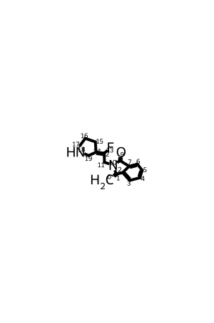 C=C1c2ccccc2C(=O)N1C/C(F)=C1/CCCNC1